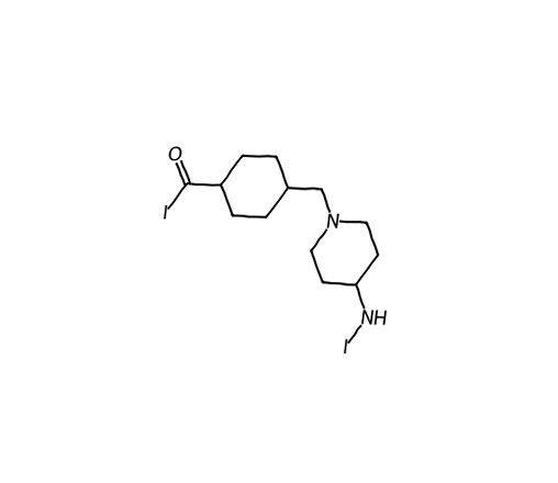 O=C(I)C1CCC(CN2CCC(NI)CC2)CC1